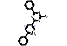 C=C(/C=C\C(=C/C)c1nc(Br)nc(-c2ccccc2)n1)c1ccccc1